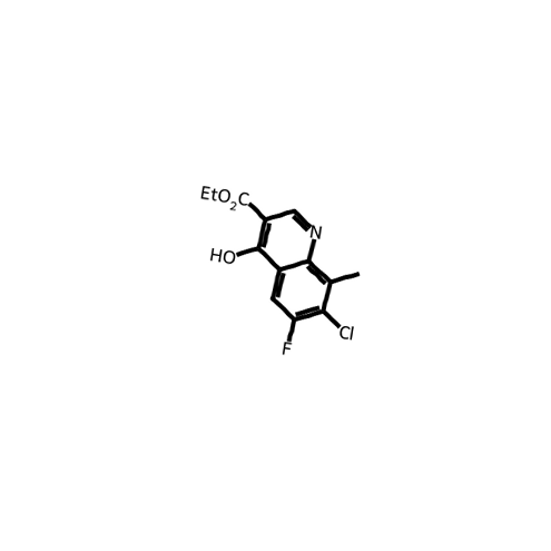 CCOC(=O)c1cnc2c(C)c(Cl)c(F)cc2c1O